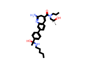 CCCCCNC(C)(O)c1ccc(-c2ccc3c(c2)N=C(N)CC(C(=O)N(CCC)C[C@@H](C)O)=C3)cc1